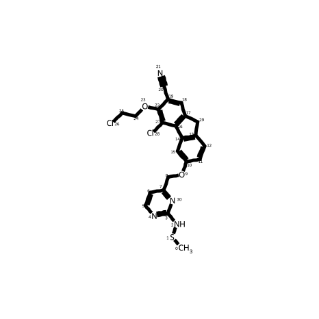 CSNc1nccc(COc2ccc3c(c2)-c2c(cc(C#N)c(OCCCl)c2Cl)C3)n1